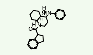 O=C(C1CCc2ccccc21)N1CCC(Nc2ccccc2)[C@]2(O)CCCC[C@H]12